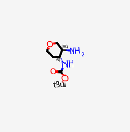 CC(C)(C)OC(=O)N[C@@H]1CCOC[C@H]1N